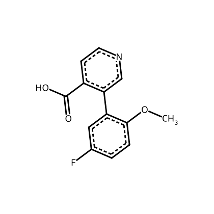 COc1ccc(F)cc1-c1cnccc1C(=O)O